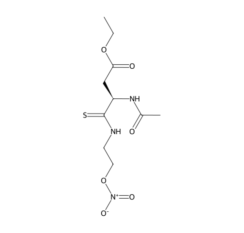 CCOC(=O)C[C@@H](NC(C)=O)C(=S)NCCO[N+](=O)[O-]